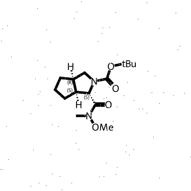 CON(C)C(=O)[C@@H]1[C@H]2CCC[C@H]2CN1C(=O)OC(C)(C)C